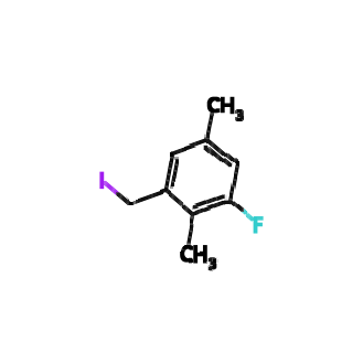 Cc1cc(F)c(C)c(CI)c1